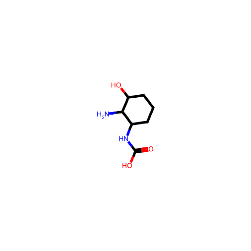 NC1C(O)CCCC1NC(=O)O